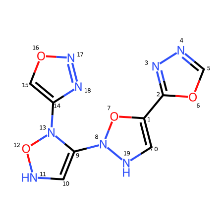 [C]1=C(c2nnco2)ON(C2=CNON2c2conn2)N1